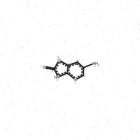 Nc1cnc2[nH]c(=O)oc2c1